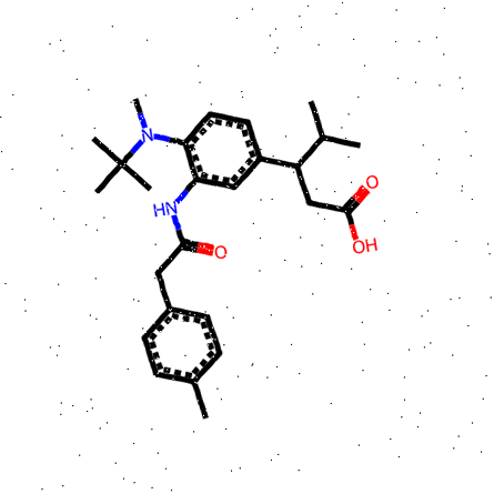 Cc1ccc(CC(=O)Nc2cc(C(CC(=O)O)C(C)C)ccc2N(C)C(C)(C)C)cc1